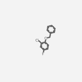 Fc1[c]c(Cl)c(OCc2ccccc2)cc1